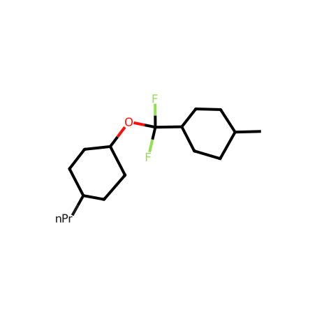 CCCC1CCC(OC(F)(F)C2CCC(C)CC2)CC1